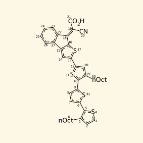 CCCCCCCCc1ccsc1-c1ccc(-c2sc(-c3cc4c(s3)/C(=C(\C#N)C(=O)O)c3ccccc3-4)cc2CCCCCCCC)s1